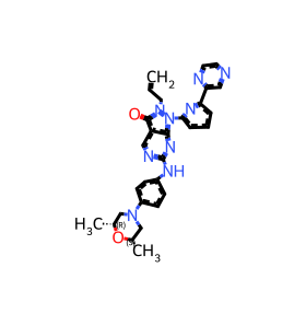 C=CCn1c(=O)c2cnc(Nc3ccc(N4C[C@@H](C)O[C@@H](C)C4)cc3)nc2n1-c1cccc(-c2cnccn2)n1